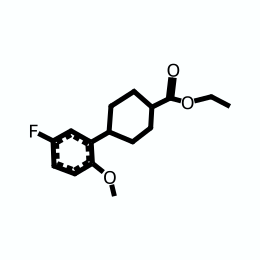 CCOC(=O)C1CCC(c2cc(F)ccc2OC)CC1